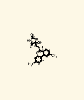 Cc1ccc(-c2cc(C(F)(F)F)ccc2C(=O)NC[C@@]2(S)NC(=O)NC2=O)cc1